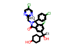 CCC(O)(c1cc(F)c2c(c1)C(=O)N(Cc1ncc(Cl)cn1)[C@@]2(OC)c1ccc(Cl)cc1)C1CCC(O)CC1